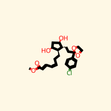 COC(=O)C=C/C=C\CC[C@@H]1[C@@H](CCC2(c3ccc(Cl)cc3)OCCO2)[C@H](O)C[C@@H]1O